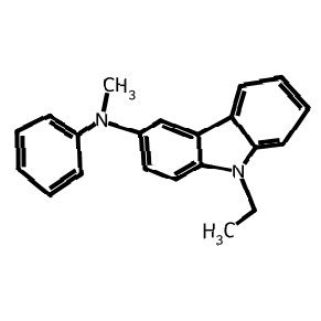 CCn1c2ccccc2c2cc(N(C)c3ccccc3)ccc21